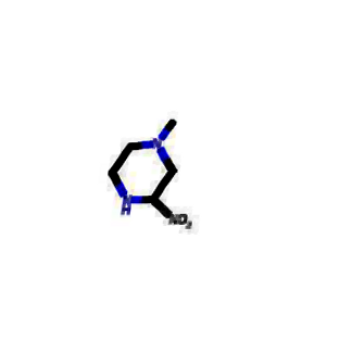 CN1[CH]C([N+](=O)[O-])NCC1